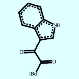 CC(C)(C)C(=O)C(=O)c1c[nH]c2ccccc12